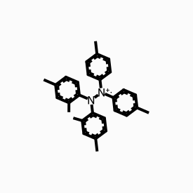 Cc1ccc([N+](c2ccc(C)cc2)N(c2ccc(C)cc2C)c2ccc(C)cc2C)cc1